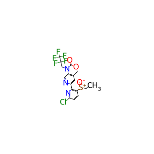 CC[S+]([O-])c1ccc(Cl)nc1-c1cc2c(cn1)N(CC(F)(F)C(F)(F)F)C(=O)OC2